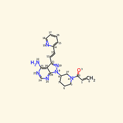 C=CC(=O)N1CCCC(n2nc(C=Cc3ccccn3)c3c(N)ncnc32)C1